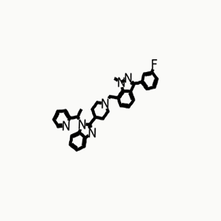 CC(c1ccccn1)n1c(C2CCN(Cc3cccc4c(-c5cccc(F)c5)nn(C)c34)CC2)nc2ccccc21